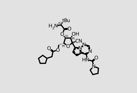 CC(C)(C)[C@H](N)C(=O)O[C@H]1[C@@H](O)[C@](C#N)(c2ccc3c(NC(=O)N4CCCC4)ncnn23)O[C@@H]1COC(=O)CC1CCCC1